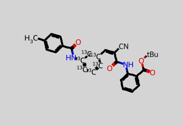 Cc1ccc(C(=O)N[13c]2[13cH][13cH][13cH][13c](C=C(C#N)C(=O)Nc3ccccc3C(=O)OC(C)(C)C)[13cH]2)cc1